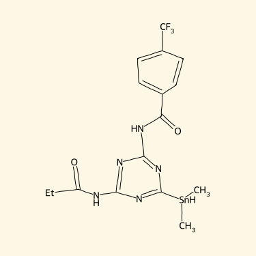 CCC(=O)Nc1nc(NC(=O)c2ccc(C(F)(F)F)cc2)n[c]([SnH]([CH3])[CH3])n1